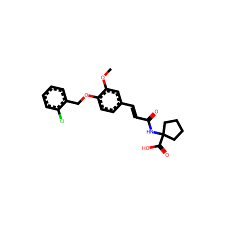 COc1cc(C=CC(=O)NC2(C(=O)O)CCCC2)ccc1OCc1ccccc1Cl